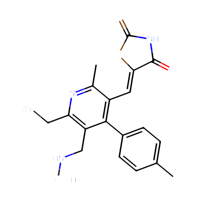 Cc1ccc(-c2c(C=C3SC(=S)NC3=O)c(C)nc(CC(C)C)c2CNC(=O)O)cc1